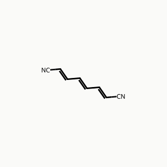 N#C/C=C/C=C/C=C/C#N